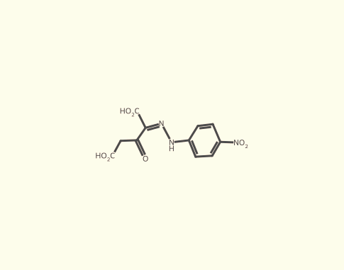 O=C(O)CC(=O)C(=NNc1ccc([N+](=O)[O-])cc1)C(=O)O